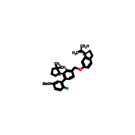 COc1ccc(F)c(-c2ccc(COc3ccc4c(c3)[C@@H]([C@@H](C)C(=O)O)CC4)cc2[C@H]2CCCC2(C)C)c1